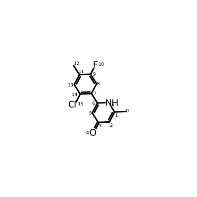 Cc1cc(=O)cc(-c2cc(F)c(C)cc2Cl)[nH]1